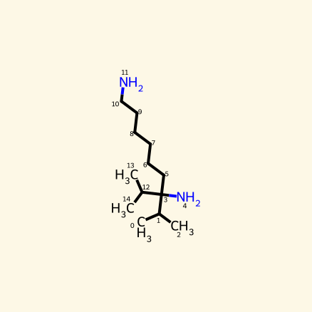 CC(C)C(N)(CCCCCCN)C(C)C